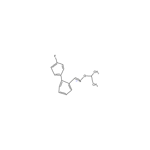 CC(C)O/N=C/c1ccccc1-c1ccc(F)cc1